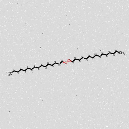 CCCCCCCCCCCCCCCCOOCCCCCCCCCCCCCCC